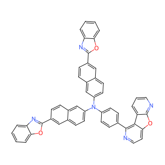 c1ccc2oc(-c3ccc4cc(N(c5ccc(-c6nccc7oc8ncccc8c67)cc5)c5ccc6cc(-c7nc8ccccc8o7)ccc6c5)ccc4c3)nc2c1